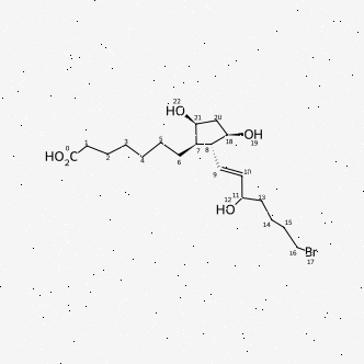 O=C(O)CCCCCC[C@@H]1[C@@H](C=CC(O)CCCCBr)[C@H](O)C[C@@H]1O